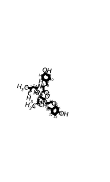 CC(C)CC(=O)N[C@@H](Cc1ccc(O)cc1)C(=O)N[C@@H](CC(C)C)C(=O)N[C@H](C=O)Cc1ccc(O)cc1